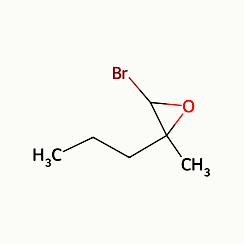 CCCC1(C)OC1Br